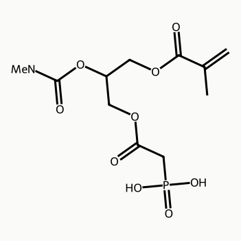 C=C(C)C(=O)OCC(COC(=O)CP(=O)(O)O)OC(=O)NC